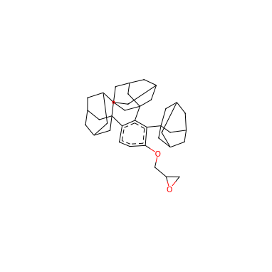 c1cc(C23CC4CC(CC(C4)C2)C3)c(C23CC4CC(CC(C4)C2)C3)c(C23CC4CC(CC(C4)C2)C3)c1OCC1CO1